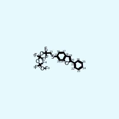 FOC(F)(F)OC(F)(F)OC(F)(F)CSc1ccc2cc(-c3ccccc3)oc2c1